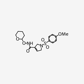 COc1ccc(S(=O)(=O)N2CC=C(C(=O)NOC3CCCCO3)C2)cc1